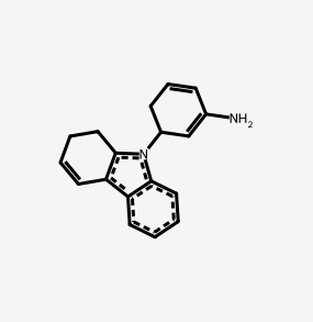 NC1=CC(n2c3c(c4ccccc42)C=CCC3)CC=C1